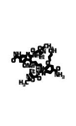 CCc1nc(C)oc1C(=O)NC1=Nc2cc(C(N)=O)cc(OC)c2C1C/C=C/Cn1c(NC(=O)c2oc(C)nc2CC)nc2cc(C(N)=O)cc(OCCCO)c21